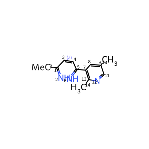 COC(=N)/C=C\C(=N)c1cc(C)cnc1C